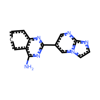 Nc1nc(-c2cnc3nccn3c2)nc2ccccc12